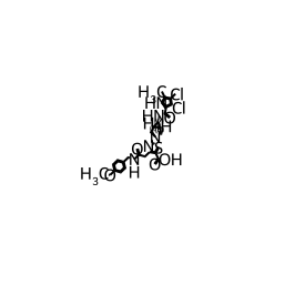 COc1ccc(CNC(=O)Cc2nc(N3C[C@@H]4[C@H](C3)[C@@H]4NC(=O)c3[nH]c(C)c(Cl)c3Cl)sc2C(=O)O)cc1